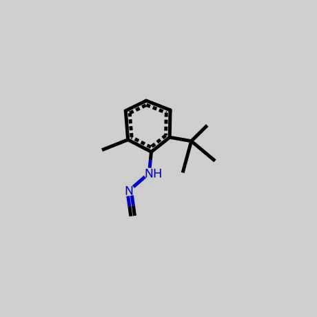 C=NNc1c(C)cccc1C(C)(C)C